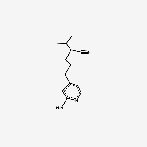 CC(C)N(C#N)CCCc1ccnc(N)c1